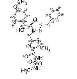 CNS(=O)(=O)NC(=O)c1nc(CN(CCCc2ccccc2)C(=O)[C@H](O)c2ccc(OC)cc2F)sc1C